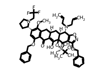 C=CCN(CC=C)[C@@H]1c2onc(OCc3ccccc3)c2C(=O)C2(O[Si](C)(C)C(C)(C)C)C(O)=C3C(=O)c4c(OCc5ccccc5)cc([C@@H]5CCCN5CC(F)(F)F)c(OC)c4C[C@H]3C[C@@H]12